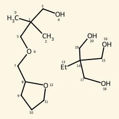 CC(C)(CO)COCC1CCCO1.CCC(CO)(CO)CO